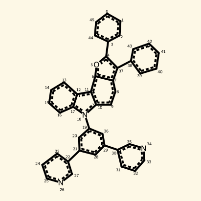 c1ccc(-c2oc3c(ccc4c3c3ccccc3n4-c3cc(-c4cccnc4)cc(-c4cccnc4)c3)c2-c2ccccc2)cc1